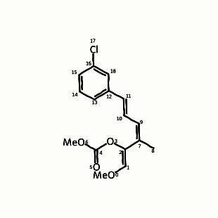 COC=C(OC(=O)OC)C(C)=CC=Cc1cccc(Cl)c1